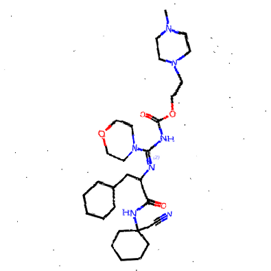 CN1CCN(CCOC(=O)N/C(=N/C(CC2CCCCC2)C(=O)NC2(C#N)CCCCC2)N2CCOCC2)CC1